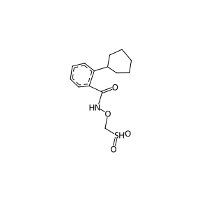 O=C(NOC[SH](=O)=O)c1ccccc1C1CCCCC1